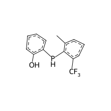 Cc1cccc(C(F)(F)F)c1Pc1ccccc1O